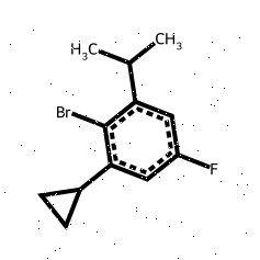 CC(C)c1cc(F)cc(C2CC2)c1Br